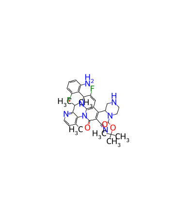 Cc1ccnc(C(C)C)c1-n1c(=O)c(C#N)c(C2CNCCN2C(=O)OC(C)(C)C)c2cc(F)c(-c3c(N)cccc3F)nc21